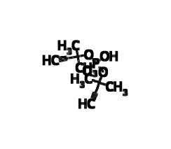 C#CC(C)(C)OP(=O)(O)OC(C)(C)C#C